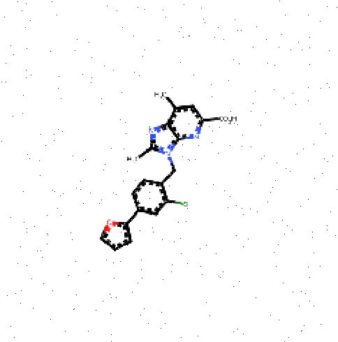 Cc1cc(C(=O)O)nc2c1nc(C)n2Cc1ccc(-c2ccco2)cc1Cl